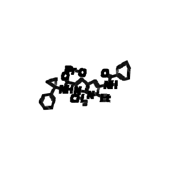 CCc1nc2c(cc1NC(=O)c1ccccc1)c(OC(C)C)c(C(=O)NC1(c3ccccc3)CC1)n2C